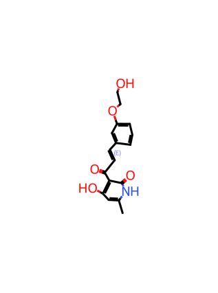 Cc1cc(O)c(C(=O)/C=C/c2cccc(OCCO)c2)c(=O)[nH]1